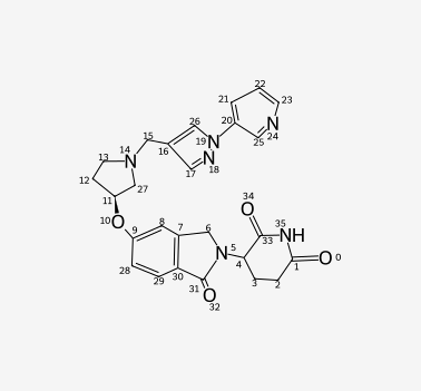 O=C1CCC(N2Cc3cc(O[C@H]4CCN(Cc5cnn(-c6cccnc6)c5)C4)ccc3C2=O)C(=O)N1